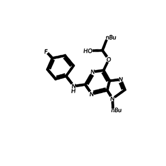 CCCCC(O)Oc1nc(Nc2ccc(F)cc2)nc2c1ncn2CCCC